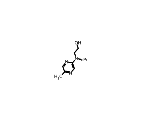 CCCN(CCO)c1cnc(C)cn1